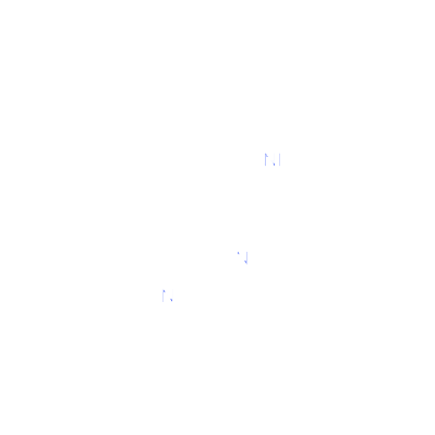 [c]1c([C@@H]2CCCN2)ccnc1-c1cccnc1